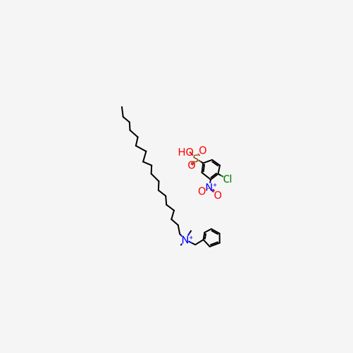 CCCCCCCCCCCCCCCCCC[N+](C)(C)Cc1ccccc1.O=[N+]([O-])c1cc(S(=O)(=O)O)ccc1Cl